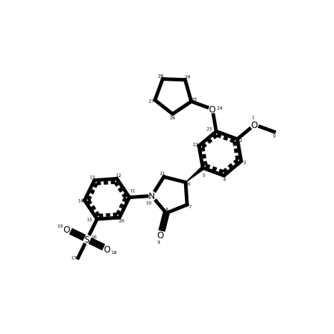 COc1ccc([C@H]2CC(=O)N(c3cccc(S(C)(=O)=O)c3)C2)cc1OC1CCCC1